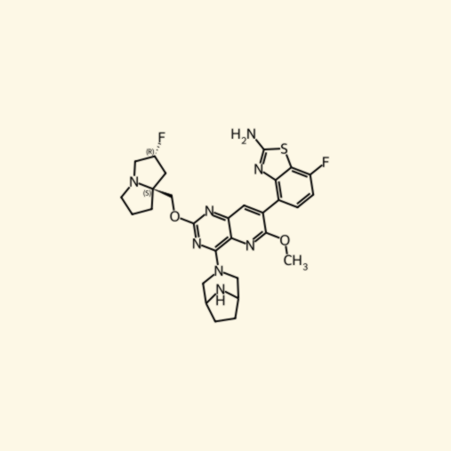 COc1nc2c(N3CC4CCC(C3)N4)nc(OC[C@@]34CCCN3C[C@H](F)C4)nc2cc1-c1ccc(F)c2sc(N)nc12